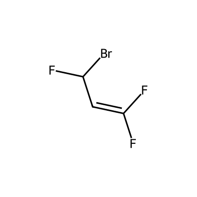 FC(F)=CC(F)Br